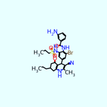 CCCC1CC(=O)C2=C(C1)NC(C)=C(C#N)C2c1cc(Br)c(NC(=O)c2cccc(N)c2)c(NS(=O)(=O)CCC)c1